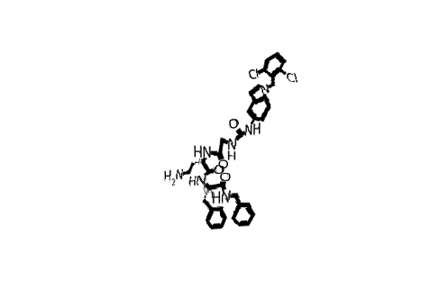 NCC[C@H](NC(=O)CNC(=O)Nc1ccc2c(ccn2Cc2c(Cl)cccc2Cl)c1)C(=O)N[C@@H](Cc1ccccc1)C(=O)NCc1ccccc1